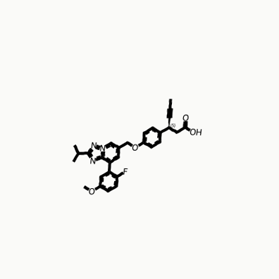 CC#C[C@@H](CC(=O)O)c1ccc(OCc2cc(-c3cc(OC)ccc3F)c3nc(C(C)C)nn3c2)cc1